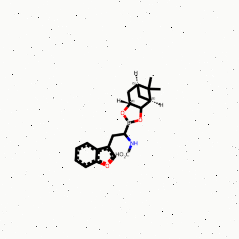 CC1(C)[C@H]2C[C@@H]1C1OB(C(Cc3coc4ccccc34)NC(=O)O)O[C@@H]1C2